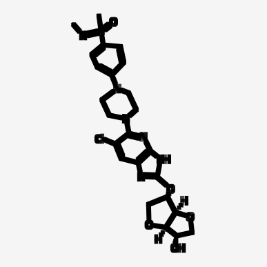 CN=S(C)(=O)c1ccc(N2CCN(c3nc4[nH]c(O[C@@H]5CO[C@H]6[C@@H]5OC[C@H]6O)nc4cc3Cl)CC2)cc1